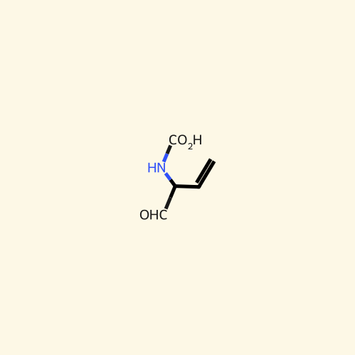 C=CC(C=O)NC(=O)O